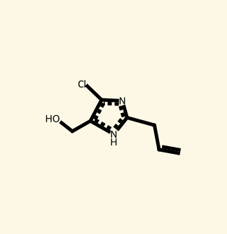 C=CCc1nc(Cl)c(CO)[nH]1